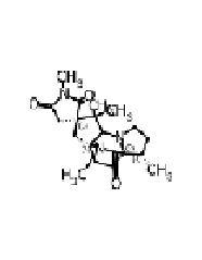 C[C@H]1CCN2C3C(C)(C)[C@@]4(CC(=O)N(C)C4=O)C[C@]34CC[C@]12C(=O)N4C